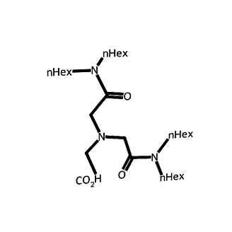 CCCCCCN(CCCCCC)C(=O)CN(CC(=O)O)CC(=O)N(CCCCCC)CCCCCC